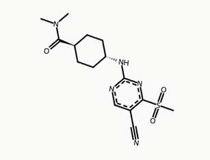 CN(C)C(=O)[C@H]1CC[C@H](Nc2ncc(C#N)c(S(C)(=O)=O)n2)CC1